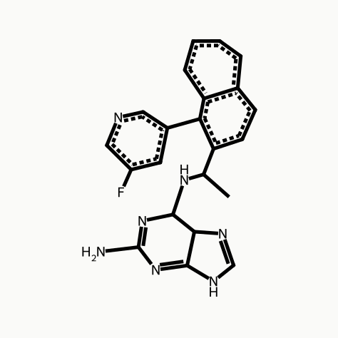 CC(NC1N=C(N)N=C2NC=NC21)c1ccc2ccccc2c1-c1cncc(F)c1